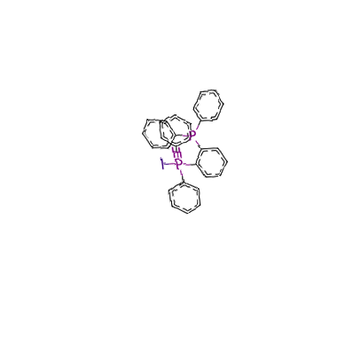 I[PH](c1ccccc1)(c1ccccc1)c1ccccc1P(c1ccccc1)c1ccccc1